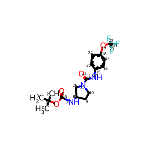 CC(C)(C)OC(=O)NC1CCN(C(=O)Nc2ccc(OC(F)(F)F)cc2)C1